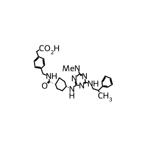 CNc1nc(NCC(C)c2ccccc2)nc(N[C@H]2CC[C@@H](C(=O)NCc3ccc(CC(=O)O)cc3)CC2)n1